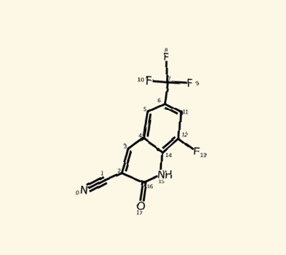 N#Cc1cc2cc(C(F)(F)F)cc(F)c2[nH]c1=O